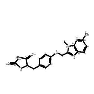 Cn1c(COc2ccc(CC3SC(=O)NC3=O)cc2)nc2ccc(O)nc21